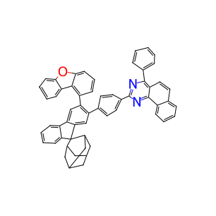 c1ccc(-c2nc(-c3ccc(-c4cc5c(cc4-c4cccc6oc7ccccc7c46)-c4ccccc4C54C5CC6CC(C5)CC4C6)cc3)nc3c2ccc2ccccc23)cc1